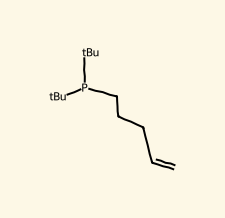 C=CCCCP(C(C)(C)C)C(C)(C)C